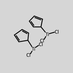 [Cl][Ti]([Cl])[CH]1C=CC=C1.[Cl][Ti]([Cl])[CH]1C=CC=C1